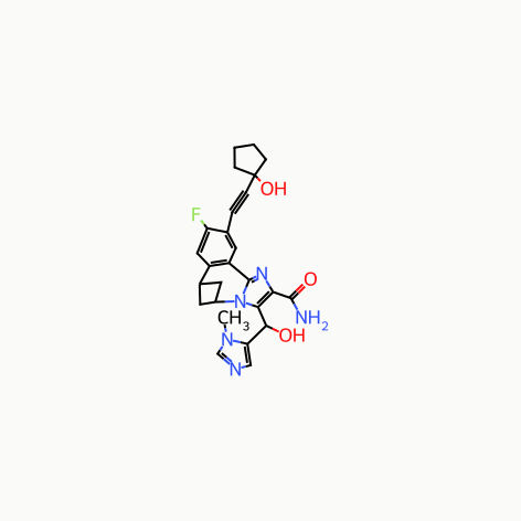 Cn1cncc1C(O)c1c(C(N)=O)nc2n1C1CC(C1)c1cc(F)c(C#CC3(O)CCCC3)cc1-2